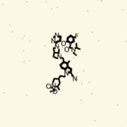 CCN(C(=O)c1cc(F)ccc1Oc1cncnc1N1CC2CCN(Cc3ccc4c(cc(C#N)n4CCC4CCN(S(C)(=O)=O)C(C)C4)c3C)C2C1)C(C)C